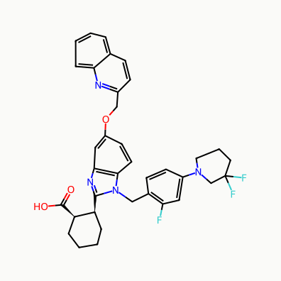 O=C(O)[C@@H]1CCCC[C@@H]1c1nc2cc(OCc3ccc4ccccc4n3)ccc2n1Cc1ccc(N2CCCC(F)(F)C2)cc1F